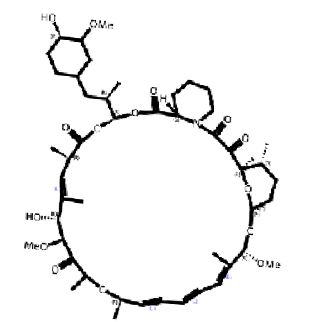 COC1CC(C[C@@H](C)[C@@H]2CC(=O)[C@H](C)/C=C(\C)[C@@H](O)C(OC)C(=O)C(C)C[C@H](C)/C=C/C=C/C=C(\C)[C@@H](OC)C[C@@H]3CC[C@@H](C)[C@@](C)(O3)C(=O)C(=O)N3CCCC[C@H]3C(=O)O2)CC[C@H]1O